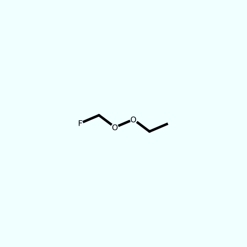 CCOOCF